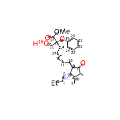 CC/C=C/[C@H]1[C@H](C)CC(=O)[C@@H]1CC=C=CCC(C[16OH])(Oc1ccccc1)C(=O)OC